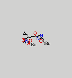 CC(C)(C)OC(=O)N1[C@H]([C@@H](CCCC(=O)c2cnc3cc(C(C)(C)C)oc3n2)CC2CC2)COC1(C)C